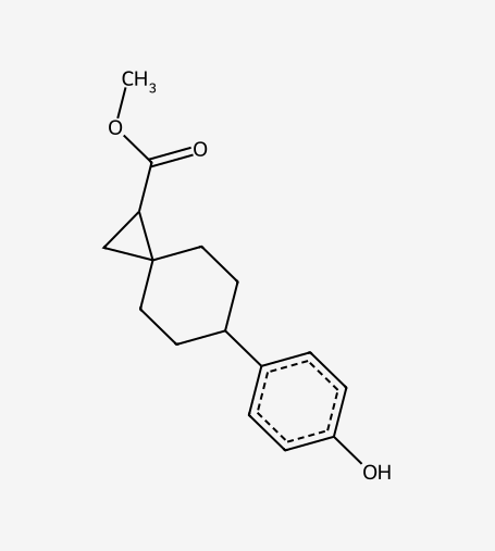 COC(=O)C1CC12CCC(c1ccc(O)cc1)CC2